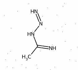 CC(=N)NN=N